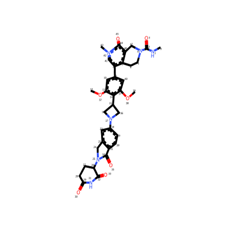 CNC(=O)N1CCc2c(-c3cc(OC)c(C4CN(c5ccc6c(c5)CN(C5CCC(=O)NC5=O)C6=O)C4)c(OC)c3)cn(C)c(=O)c2C1